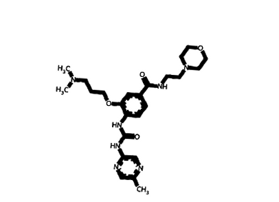 Cc1cnc(NC(=O)Nc2ccc(C(=O)NCCN3CCOCC3)cc2OCCCN(C)C)cn1